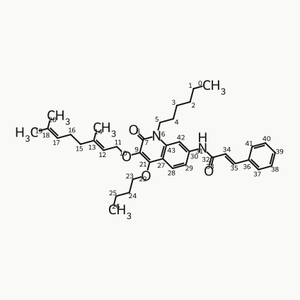 CCCCCCn1c(=O)c(OC/C=C(\C)CCC=C(C)C)c(OCCCC)c2ccc(NC(=O)C=Cc3ccccc3)cc21